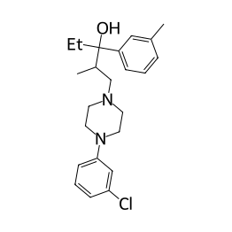 CCC(O)(c1cccc(C)c1)C(C)CN1CCN(c2cccc(Cl)c2)CC1